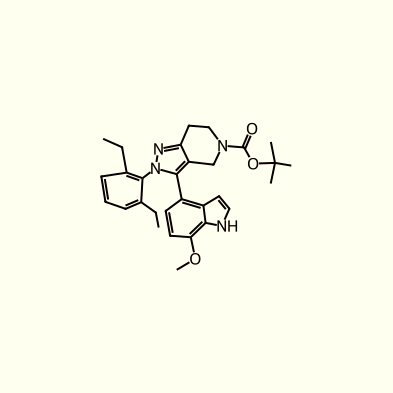 CCc1cccc(CC)c1-n1nc2c(c1-c1ccc(OC)c3[nH]ccc13)CN(C(=O)OC(C)(C)C)CC2